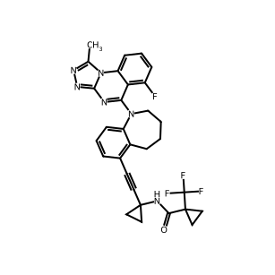 Cc1nnc2nc(N3CCCCc4c(C#CC5(NC(=O)C6(C(F)(F)F)CC6)CC5)cccc43)c3c(F)cccc3n12